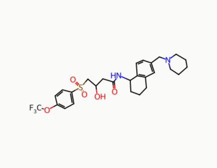 O=C(CC(O)CS(=O)(=O)c1ccc(OC(F)(F)F)cc1)NC1CCCc2cc(CN3CCCCC3)ccc21